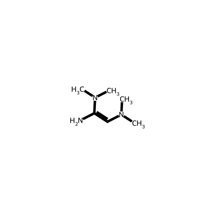 CN(C)C=C(N)N(C)C